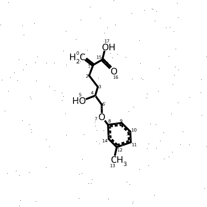 C=C(CCC(O)COc1cccc(C)c1)C(=O)O